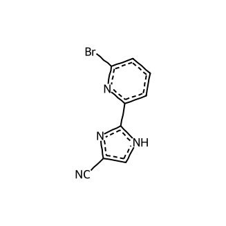 N#Cc1c[nH]c(-c2cccc(Br)n2)n1